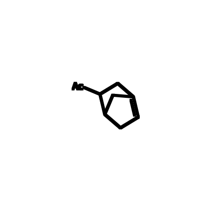 CC(=O)C1CC2=CCC1C2